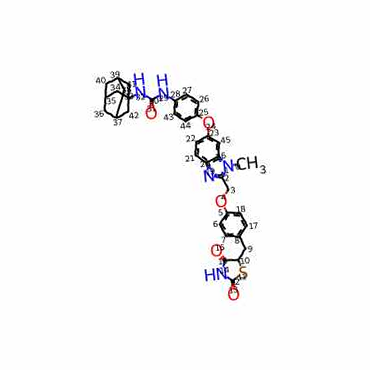 Cn1c(COc2ccc(CC3SC(=O)NC3=O)cc2)nc2ccc(Oc3ccc(NC(=O)NC45CC6CC(CC(C6)C4)C5)cc3)cc21